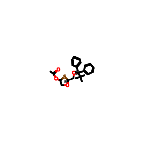 CC(=O)OC1CO[C@H](CO[Si](c2ccccc2)(c2ccccc2)C(C)(C)C)S1